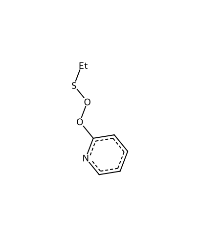 CCSOOc1ccccn1